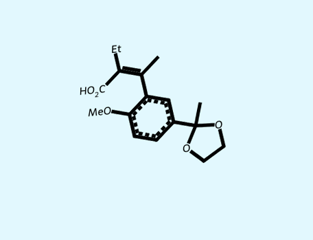 CC/C(C(=O)O)=C(\C)c1cc(C2(C)OCCO2)ccc1OC